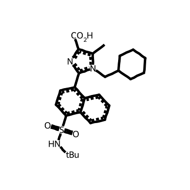 Cc1c(C(=O)O)nc(-c2ccc(S(=O)(=O)NC(C)(C)C)c3ccccc23)n1CC1CCCCC1